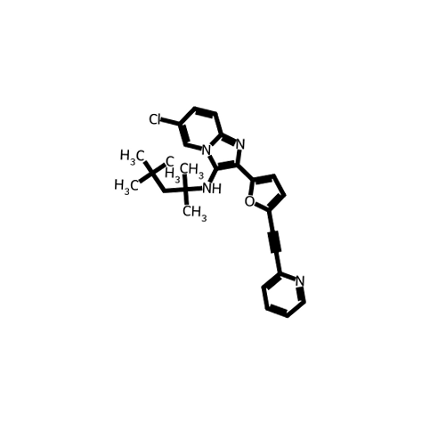 CC(C)(C)CC(C)(C)Nc1c(-c2ccc(C#Cc3ccccn3)o2)nc2ccc(Cl)cn12